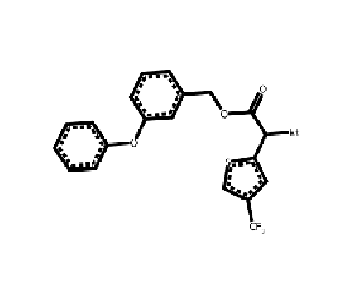 CCC(C(=O)OCc1cccc(Oc2ccccc2)c1)c1cc(C(F)(F)F)cs1